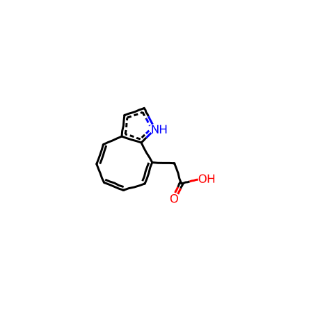 O=C(O)C/C1=C/C=C\C=C/c2cc[nH]c21